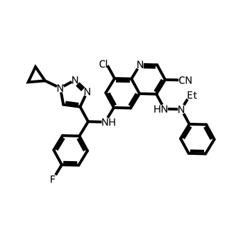 CCN(Nc1c(C#N)cnc2c(Cl)cc(NC(c3ccc(F)cc3)c3cn(C4CC4)nn3)cc12)c1ccccc1